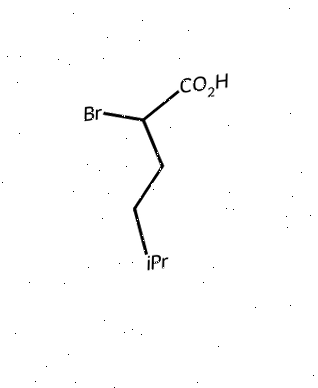 CC(C)CCC(Br)C(=O)O